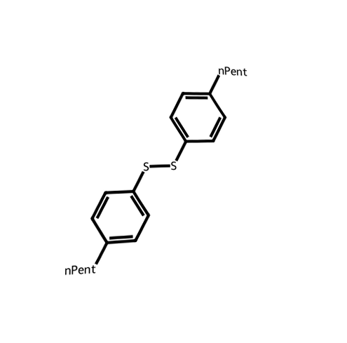 CCCCCc1ccc(SSc2ccc(CCCCC)cc2)cc1